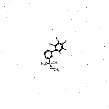 CO[Si](C)(C)c1cccc(-c2c(F)c(F)c(F)c(F)c2F)c1